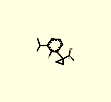 CC(C)c1cccc(C2([C@H](C)O)CC2)c1F